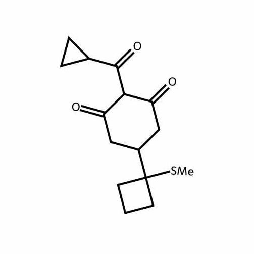 CSC1(C2CC(=O)C(C(=O)C3CC3)C(=O)C2)CCC1